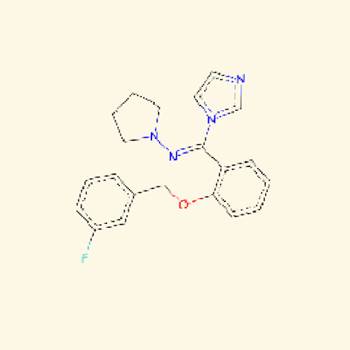 Fc1cccc(COc2ccccc2/C(=N/N2CCCC2)n2ccnc2)c1